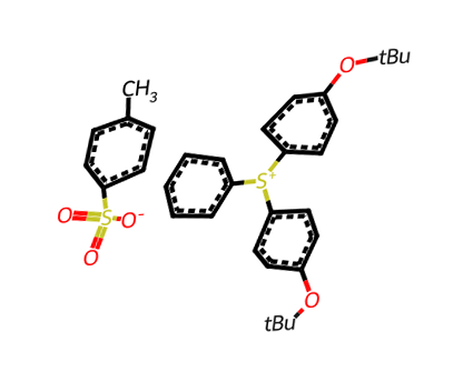 CC(C)(C)Oc1ccc([S+](c2ccccc2)c2ccc(OC(C)(C)C)cc2)cc1.Cc1ccc(S(=O)(=O)[O-])cc1